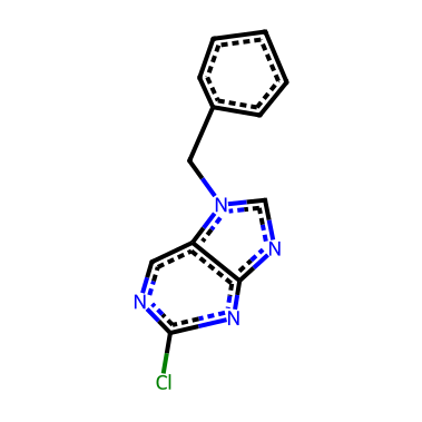 Clc1ncc2c(ncn2Cc2ccccc2)n1